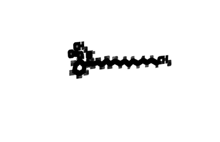 CCCCCCCCCCCCCCCC[S@@+]([O-])C1CCCCC1OC(C)=O